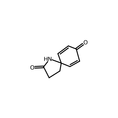 O=C1C=CC2(C=C1)CCC(=O)N2